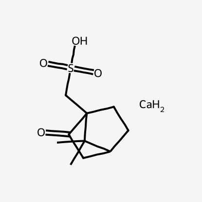 CC1(C)C2CCC1(CS(=O)(=O)O)C(=O)C2.[CaH2]